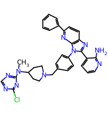 CN(c1ncnc(Cl)n1)C1CCN(Cc2ccc(-n3c(-c4cccnc4N)nc4ccc(-c5ccccc5)nc43)cc2)CC1